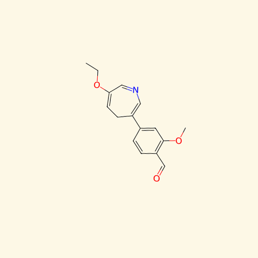 CCOC1=CCC(c2ccc(C=O)c(OC)c2)=CN=C1